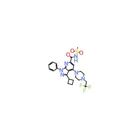 CS(=O)(=O)NC(=O)c1cc(N2CCN(CC(F)(F)F)CC2)c2c(C3CCC3)nn(-c3ccccc3)c2n1